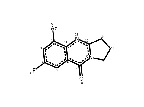 CC(=O)c1cc(F)cc2c(=O)n3c(nc12)CCC3